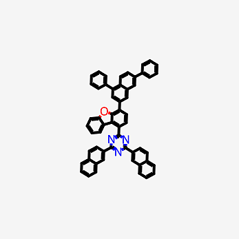 c1ccc(-c2ccc3c(-c4ccccc4)cc(-c4ccc(-c5nc(-c6ccc7ccccc7c6)nc(-c6ccc7ccccc7c6)n5)c5c4oc4ccccc45)cc3c2)cc1